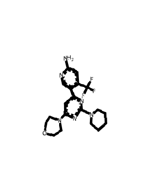 Nc1cc(C(F)(F)F)c(-c2cc(N3CCOCC3)nc(N3CCCCC3)n2)cn1